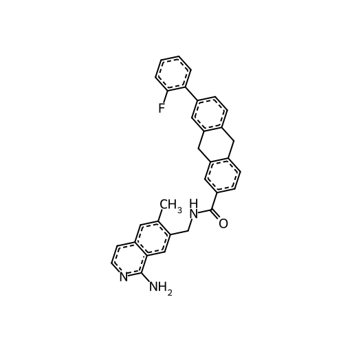 Cc1cc2ccnc(N)c2cc1CNC(=O)c1ccc2c(c1)Cc1cc(-c3ccccc3F)ccc1C2